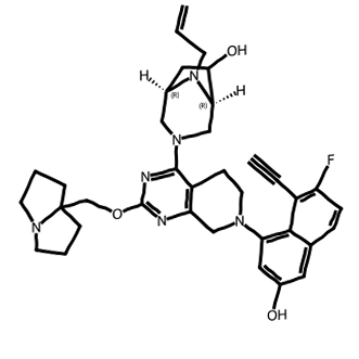 C#Cc1c(F)ccc2cc(O)cc(N3CCc4c(nc(OCC56CCCN5CCC6)nc4N4C[C@H]5CC(O)[C@@H](C4)N5CC=C)C3)c12